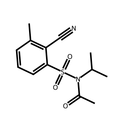 CC(=O)N(C(C)C)S(=O)(=O)c1cccc(C)c1C#N